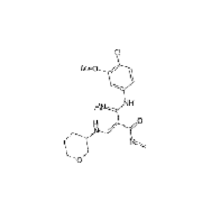 C=NC(=O)/C(=C/NC1CCCOC1)C(=N)Nc1ccc(Cl)c(OC)c1